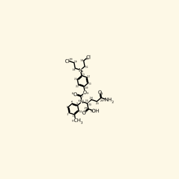 Cc1cccc(N(C(=O)Oc2ccc(N(CCCl)CCCl)cc2)[C@@H](CCC(N)=O)C(=O)O)c1